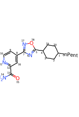 CCCCCC1CCC(c2nc(-c3ccnc(C(N)=O)c3)no2)CC1